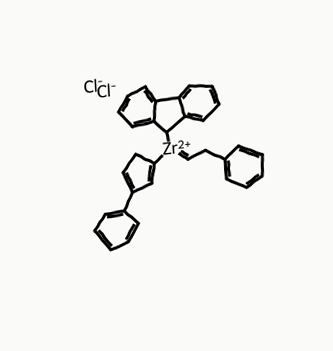 C1=C(c2ccccc2)C=[C](/[Zr+2](=[CH]/Cc2ccccc2)[CH]2c3ccccc3-c3ccccc32)C1.[Cl-].[Cl-]